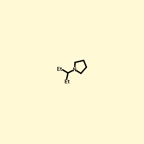 CCC(CC)N1CCCC1